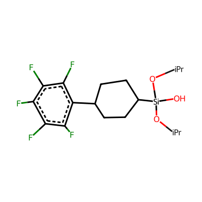 CC(C)O[Si](O)(OC(C)C)C1CCC(c2c(F)c(F)c(F)c(F)c2F)CC1